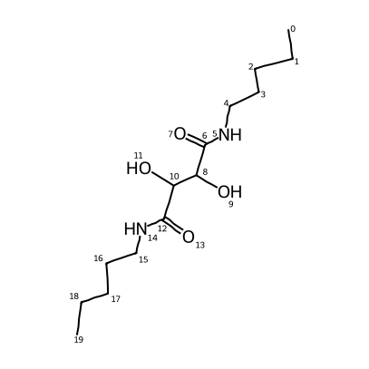 CCCCCNC(=O)C(O)C(O)C(=O)NCCCCC